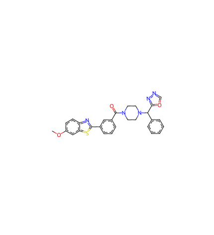 COc1ccc2nc(-c3cccc(C(=O)N4CCN(C(c5ccccc5)c5nnco5)CC4)c3)sc2c1